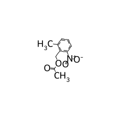 CC(=O)OCc1c(C)cccc1[N+](=O)[O-]